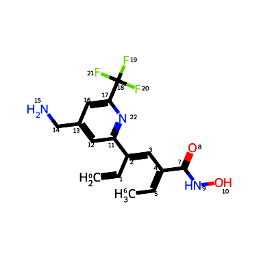 C=C/C(=C\C(=C/C)C(=O)NO)c1cc(CN)cc(C(F)(F)F)n1